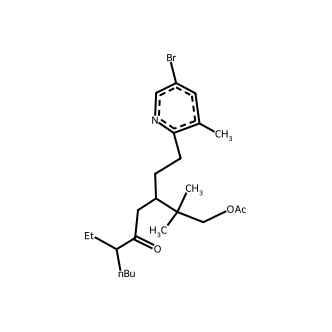 CCCCC(CC)C(=O)CC(CCc1ncc(Br)cc1C)C(C)(C)COC(C)=O